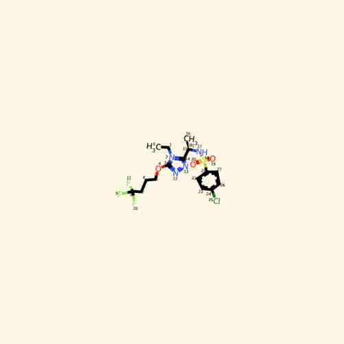 CCn1c(OCCCC(F)(F)F)nnc1[C@@H](C)NS(=O)(=O)c1ccc(Cl)cc1